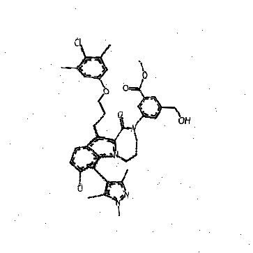 COC(=O)c1cc(CO)cc(N2CCCn3c(c(CCCOc4cc(C)c(Cl)c(C)c4)c4ccc(Cl)c(-c5c(C)nn(C)c5C)c43)C2=O)c1